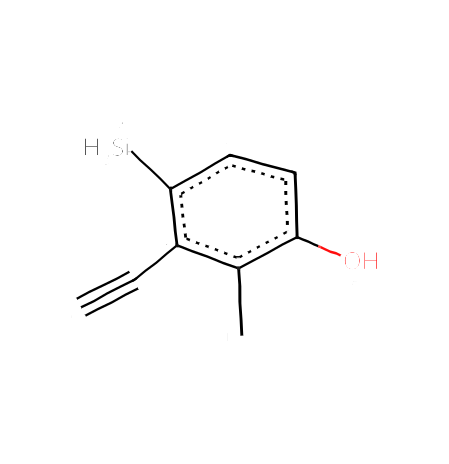 C#Cc1c([SiH3])ccc(O)c1C